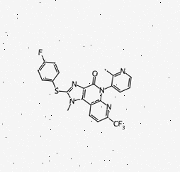 Cc1ncccc1-n1c(=O)c2nc(Sc3ccc(F)cc3)n(C)c2c2ccc(C(F)(F)F)nc21